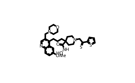 COc1ccc2ncc(CN3CCOCC3)c(CCCC3(C(=O)NO)CCN(CC(=S)c4cccs4)CC3)c2c1